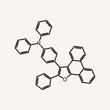 c1ccc(-c2oc3c4ccccc4c4ccccc4c3c2-c2ccc(N(c3ccccc3)c3ccccc3)cc2)cc1